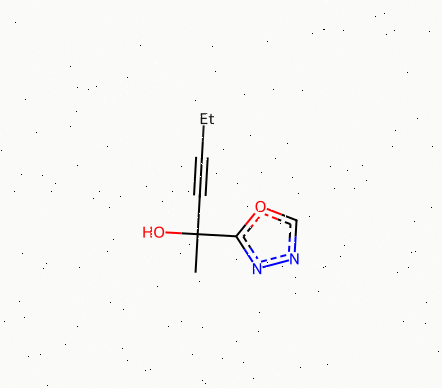 CCC#CC(C)(O)c1nnco1